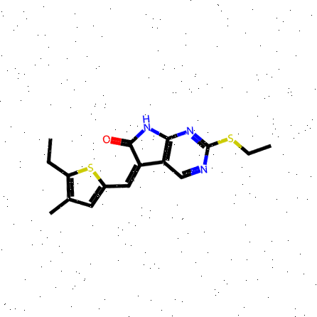 CCSc1ncc2c(n1)NC(=O)C2=Cc1cc(C)c(CC)s1